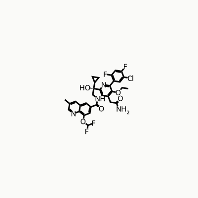 CCOc1c(CC(N)=O)cc([C@@](O)(CNC(=O)c2cc(OC(F)F)c3ncc(C)cc3c2)C2CC2)nc1-c1cc(Cl)c(F)cc1F